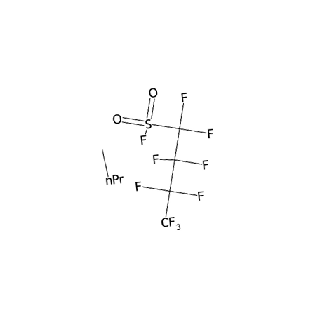 CCCC.O=S(=O)(F)C(F)(F)C(F)(F)C(F)(F)C(F)(F)F